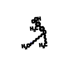 C=C/C=C/CCCCCCCC(CCCCCC)Oc1ccc(-c2ccc(C(=O)O)cc2C)cc1